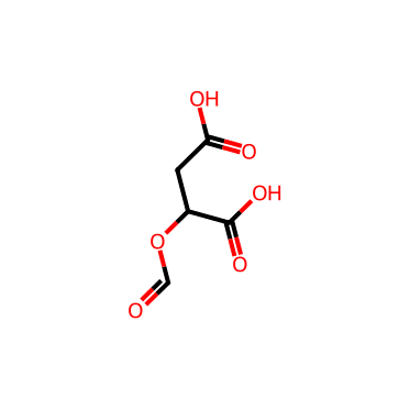 O=COC(CC(=O)O)C(=O)O